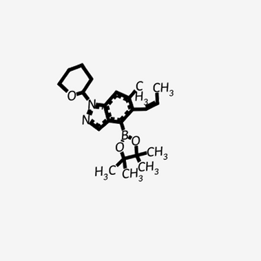 C/C=C\c1c(C)cc2c(cnn2C2CCCCO2)c1B1OC(C)(C)C(C)(C)O1